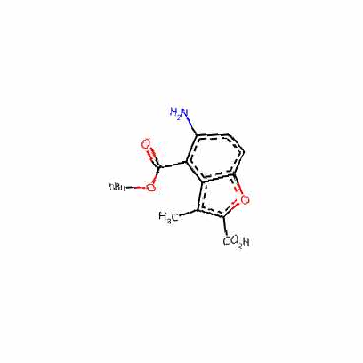 CCCCOC(=O)c1c(N)ccc2oc(C(=O)O)c(C)c12